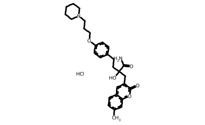 Cc1ccc2cc(CC(O)(CCc3ccc(OCCCN4CCCCC4)cc3)C(N)=O)c(=O)oc2c1.Cl